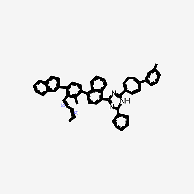 C/C=C\C=C/c1c(-c2ccc3ccccc3c2)ccc(-c2ccc(C3=NC(c4ccccc4)NC(C4=CCC=C(c5cccc(C)c5)C=C4)=N3)c3ccccc23)c1C